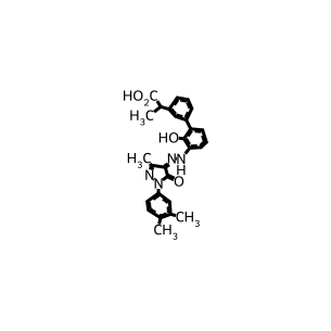 CC1=NN(c2ccc(C)c(C)c2)C(=O)/C1=N\Nc1cccc(-c2cccc(C(C)C(=O)O)c2)c1O